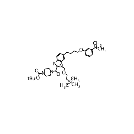 CN(C)c1cccc(OCCCCc2ccc3nc(C(=O)N4CCN(C(=O)OC(C)(C)C)CC4)n(COCC[Si](C)(C)C)c3c2)c1